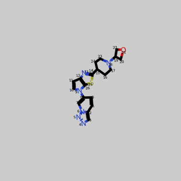 c1cc2cnnn2cc1-n1ccc2nc(C3CCN(C4COC4)CC3)sc21